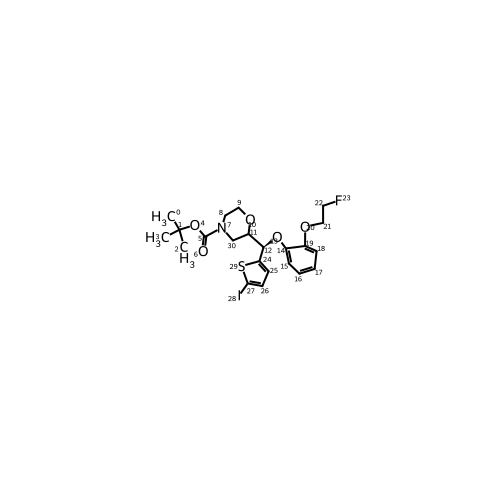 CC(C)(C)OC(=O)N1CCOC([C@@H](Oc2ccccc2OCCF)c2ccc(I)s2)C1